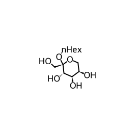 CCCCCCO[C@]1(CO)OC[C@@H](O)[C@@H](O)[C@@H]1O